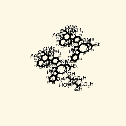 CCC1=C[C@@H]2C[N@](C1)Cc1c([nH]c3ccccc13)[C@@](C(=O)OC)(c1cc3c(cc1OC)N(C)[C@H]1[C@@](O)(C(=O)OC)[C@H](OC(C)=O)[C@]4(CC)C=CCN5CC[C@]31[C@@H]54)C2.CCC1=C[C@@H]2C[N@](C1)Cc1c([nH]c3ccccc13)[C@@](C(=O)OC)(c1cc3c(cc1OC)N(C)[C@H]1[C@@](O)(C(=O)OC)[C@H](OC(C)=O)[C@]4(CC)C=CCN5CC[C@]31[C@@H]54)C2.O=C(O)C(O)C(O)C(=O)O.O=C(O)C(O)C(O)C(=O)O